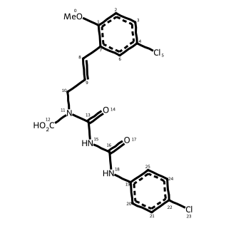 COc1ccc(Cl)cc1C=CCN(C(=O)O)C(=O)NC(=O)Nc1ccc(Cl)cc1